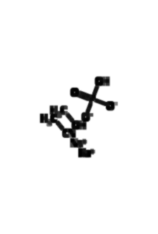 CC#N.CO.O=P([O-])([O-])O.[Na+].[Na+]